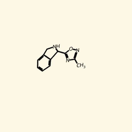 Cc1noc(C2NCc3ccccc32)n1